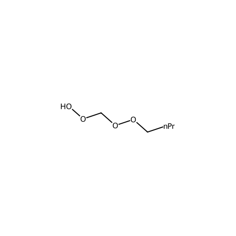 CCCCOOCOO